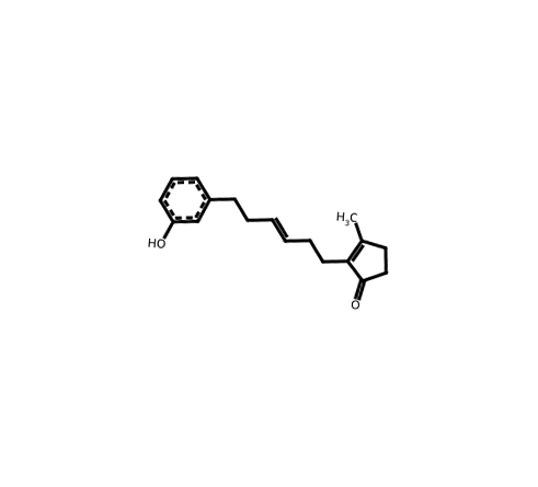 CC1=C(CC/C=C/CCc2cccc(O)c2)C(=O)CC1